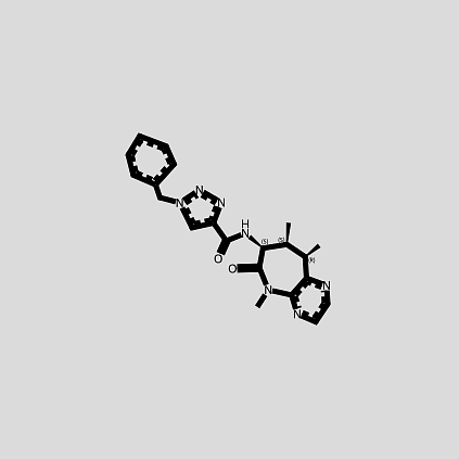 C[C@@H]1[C@H](NC(=O)c2cn(Cc3ccccc3)nn2)C(=O)N(C)c2nccnc2[C@@H]1C